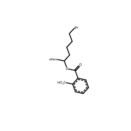 CCCCCCC(CCCCC(C)C)OC(=O)c1ccccc1C(=O)O